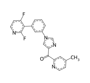 Cc1ccnc(C(=O)c2cn(-c3cccc(-c4c(F)ccnc4F)c3)cn2)c1